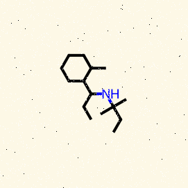 CCC(NC(C)(C)CC)C1CCCCC1C